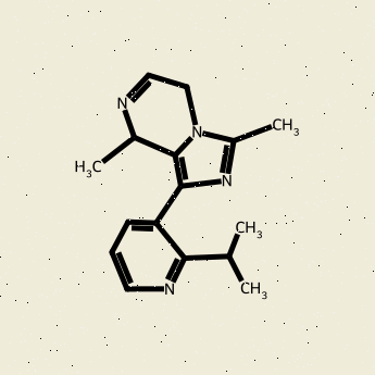 Cc1nc(-c2cccnc2C(C)C)c2n1CC=NC2C